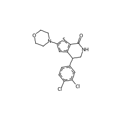 O=C1NCC(c2ccc(Cl)c(Cl)c2)c2cc(N3CCOCC3)sc21